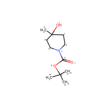 [CH2]C1(O)CCN(C(=O)OC(C)(C)C)CC1